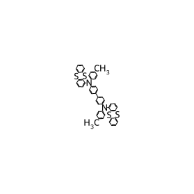 Cc1ccc(N(c2ccc(-c3ccc(N(c4ccc(C)cc4)c4cccc5c4Sc4ccccc4S5)cc3)cc2)c2cccc3c2Sc2ccccc2S3)cc1